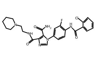 NC(=O)c1c(C(=O)NCCN2CCCCC2)ncn1-c1ccc(NC(=O)c2ccccc2Cl)c(F)c1